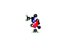 FC(F)(F)c1cc(-c2ccc3c(c2)c2ccccc2n3-c2cccnc2-c2c(-c3nc(-c4ccccc4)nc(-c4ccccc4)n3)cccc2-n2c3ccccc3c3cc(-c4cc(C(F)(F)F)cc(C(F)(F)F)c4)ccc32)cc(C(F)(F)F)c1